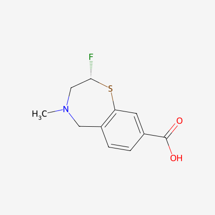 CN1Cc2ccc(C(=O)O)cc2S[C@@H](F)C1